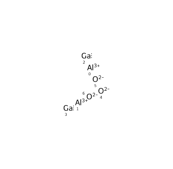 [Al+3].[Al+3].[Ga].[Ga].[O-2].[O-2].[O-2]